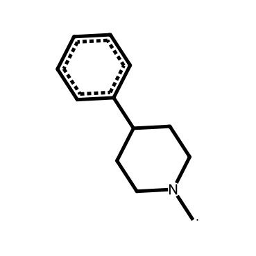 [CH2]N1CCC(c2ccccc2)CC1